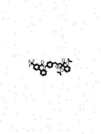 CC(C)OC(=O)C(CC(=O)Cc1ccc(NC(=O)c2cc(C(F)(F)F)ccc2-c2ccccc2)cc1)(C(=O)OC(C)C)c1ccccc1